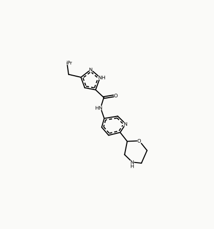 CC(C)Cc1cc(C(=O)Nc2ccc(C3CNCCO3)nc2)[nH]n1